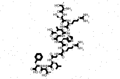 CC(C)C[C@H](NC(=O)CNC(=O)[C@H](CCCN=C(N)N)NC(=O)[C@H](Cc1cnc[nH]1)NC(=O)[C@H](CC(=O)O)NC(=O)[C@@H](NC(=O)[C@H](CCCN=C(N)N)NC(=O)[C@H](CS)NC(=O)[C@@H](N)[C@@H](C)O)C(C)C)C(=O)N[C@H](C(=O)N[C@@H](Cc1ccccc1)C(=O)O)[C@@H](C)O